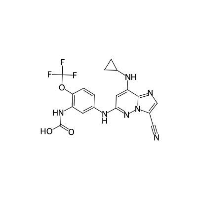 N#Cc1cnc2c(NC3CC3)cc(Nc3ccc(OC(F)(F)F)c(NC(=O)O)c3)nn12